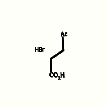 Br.CC(=O)CCC(=O)O